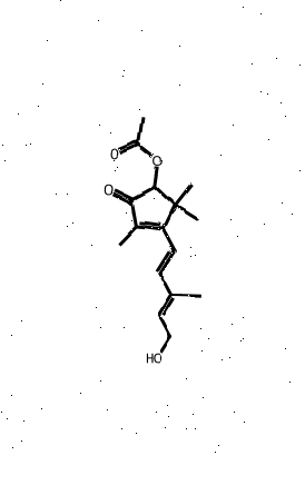 CC(=O)OC1C(=O)C(C)=C(/C=C/C(C)=C/CO)C1(C)C